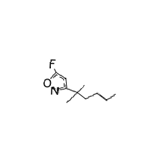 CCCCC(C)(C)c1cc(F)on1